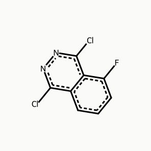 Fc1cccc2c(Cl)nnc(Cl)c12